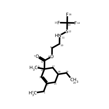 CCC1=CC(C)(C(=O)OCCNSC(F)(F)F)CC(CC)C1